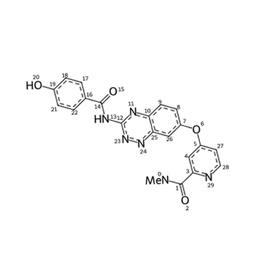 CNC(=O)c1cc(Oc2ccc3nc(NC(=O)c4ccc(O)cc4)nnc3c2)ccn1